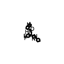 Cc1ccc2c(C(=O)NCC(c3cnc(-c4ccccc4)nc3)N3CCC(F)(F)CC3)cccc2n1